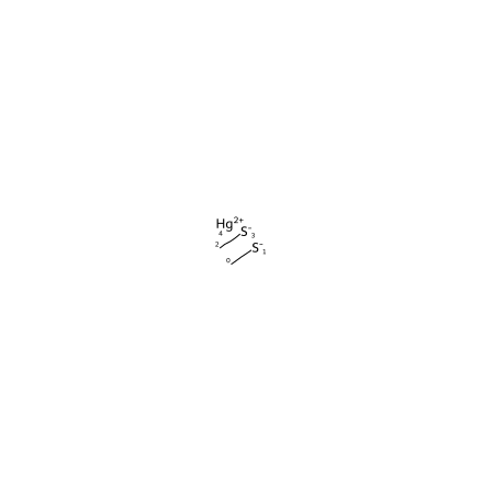 C[S-].C[S-].[Hg+2]